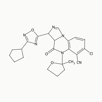 CC1(N2C(=O)C3C(c4nc(C5CCCC5)no4)N=CN3c3ccc(Cl)c(C#N)c32)CCCO1